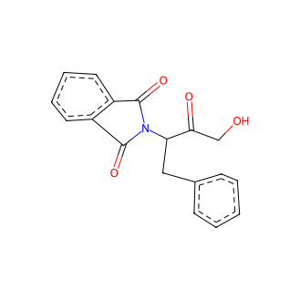 O=C(CO)C(Cc1ccccc1)N1C(=O)c2ccccc2C1=O